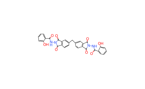 O=C(NN1C(=O)c2ccc(Cc3ccc4c(c3)C(=O)N(NC(=O)c3ccccc3O)C4=O)cc2C1=O)c1ccccc1O